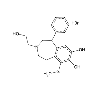 Br.CSc1c(O)c(O)cc2c1CCN(CCO)CC2c1ccccc1